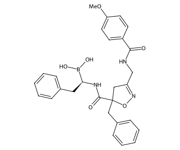 COc1ccc(C(=O)NCC2=NOC(Cc3ccccc3)(C(=O)N[C@@H](Cc3ccccc3)B(O)O)C2)cc1